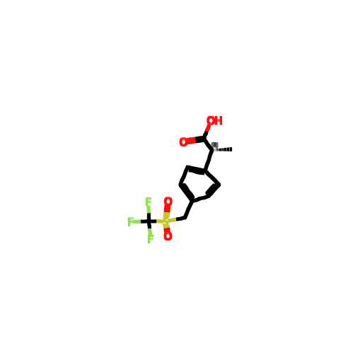 C[C@@H](C(=O)O)c1ccc(CS(=O)(=O)C(F)(F)F)cc1